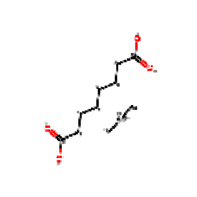 O=C([O-])CCCCCCC(=O)[O-].[CH3][Sn+2][CH3]